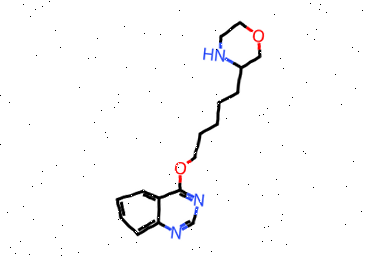 c1ccc2c(OCCCCCC3COCCN3)ncnc2c1